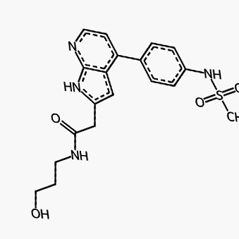 CS(=O)(=O)Nc1ccc(-c2ccnc3[nH]c(CC(=O)NCCCO)cc23)cc1